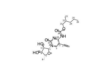 C#Cc1cn([C@@H]2O[C@H](C)[C@@H](O)[C@H]2O)c(=O)nc1NC(=O)OCC(C)CCC